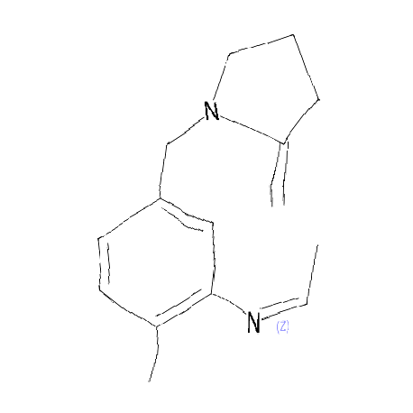 C=C1CCCN1Cc1ccc(C)c(/N=C\C)c1